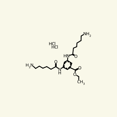 CCOC(=O)c1cc(NC(=O)CCCCCN)cc(NC(=O)CCCCCN)c1.Cl.Cl